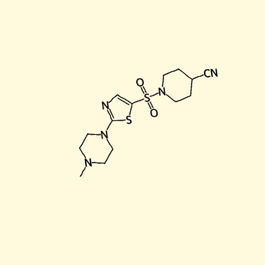 CN1CCN(c2ncc(S(=O)(=O)N3CCC(C#N)CC3)s2)CC1